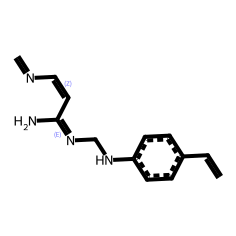 C=Cc1ccc(NC/N=C(N)\C=C/N=C)cc1